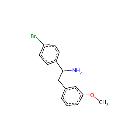 COc1cccc(CC(N)c2ccc(Br)cc2)c1